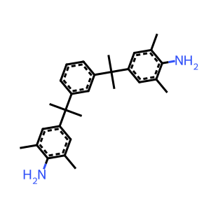 Cc1cc(C(C)(C)c2cccc(C(C)(C)c3cc(C)c(N)c(C)c3)c2)cc(C)c1N